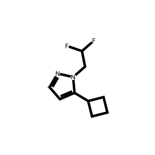 FC(F)Cn1n[c]cc1C1CCC1